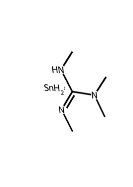 CN=C(NC)N(C)C.[SnH2]